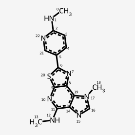 CNc1ccc(-c2nc3c(nc(NC)c4ncn(C)c43)s2)cn1